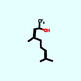 CC(C)=CCCC(C)=CC(O)C(F)(F)F